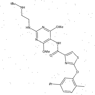 COc1nc(NCCNC(C)(C)C)nc(OC)c1NC(=O)c1csc(Oc2cc(C(C)C)ccc2C)n1